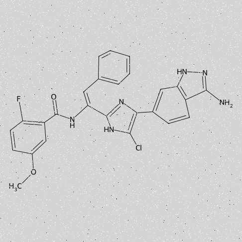 COc1ccc(F)c(C(=O)NC(=Cc2ccccc2)c2nc(-c3ccc4c(N)n[nH]c4c3)c(Cl)[nH]2)c1